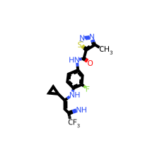 Cc1nnsc1C(=O)Nc1ccc(N/C(=C\C(=N)C(F)(F)F)C2CC2)c(F)c1